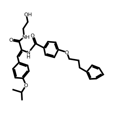 CC(C)Oc1ccc(/C=C(\NC(=O)c2ccc(OCCCc3ccccc3)cc2)C(=O)NCCO)cc1